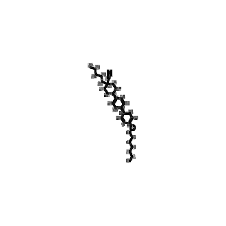 CCCCCCCOc1ccc(-c2ccc(C3CCC(C#N)(CCCCC)CC3)cc2)cc1